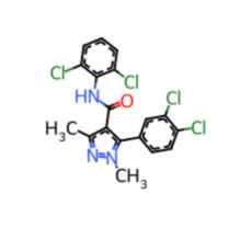 Cc1nn(C)c(-c2ccc(Cl)c(Cl)c2)c1C(=O)Nc1c(Cl)cccc1Cl